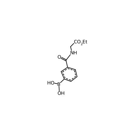 CCOC(=O)CNC(=O)c1cccc(B(O)O)c1